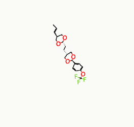 CC=C[C@H]1CO[C@H](CC[C@H]2CO[C@H](c3ccc(OC(F)(F)F)cc3)OC2)OC1